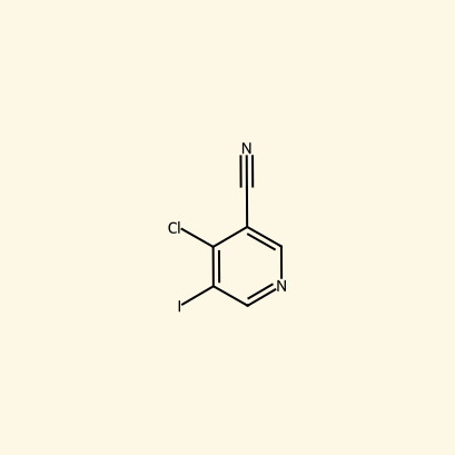 N#Cc1cncc(I)c1Cl